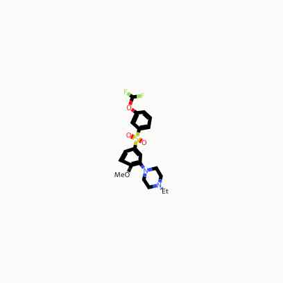 CCN1CCN(c2cc(S(=O)(=O)c3cccc(OC(F)F)c3)ccc2OC)CC1